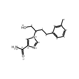 Cc1cccc(CCC(CO)n2cnc(C(N)=O)c2)c1